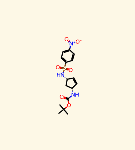 CC(C)(C)OC(=O)N[C@H]1C=C[C@@H](NS(=O)(=O)c2ccc([N+](=O)[O-])cc2)C1